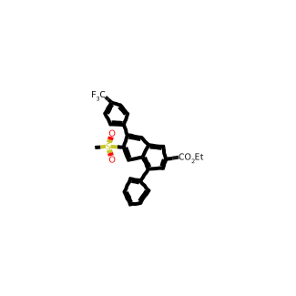 CCOC(=O)c1cc(-c2ccccc2)c2cc(S(C)(=O)=O)c(-c3ccc(C(F)(F)F)cc3)cc2c1